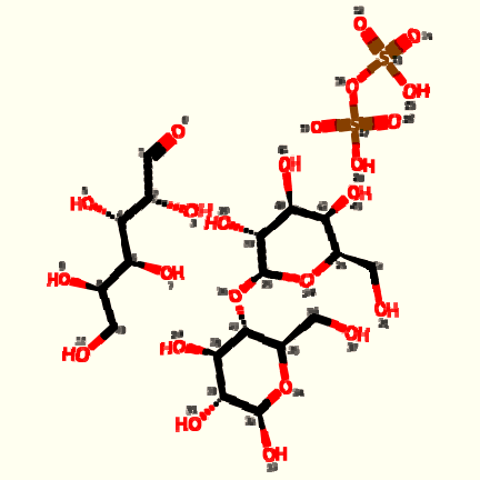 O=C[C@H](O)[C@@H](O)[C@@H](O)[C@H](O)CO.O=S(=O)(O)OS(=O)(=O)O.OC[C@H]1O[C@@H](O[C@H]2[C@H](O)[C@@H](O)[C@H](O)O[C@@H]2CO)[C@H](O)[C@@H](O)[C@H]1O